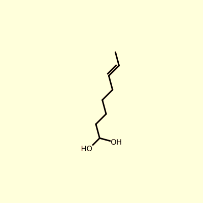 CC=CCCCCC(O)O